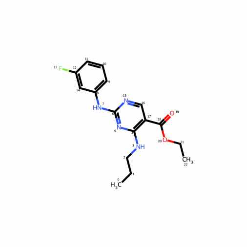 CCCNc1nc(Nc2cccc(F)c2)ncc1C(=O)OCC